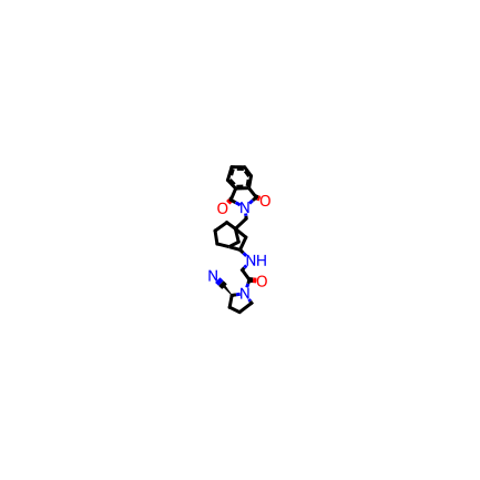 N#C[C@@H]1CCCN1C(=O)CNC1CC2(CN3C(=O)c4ccccc4C3=O)CCCC1C2